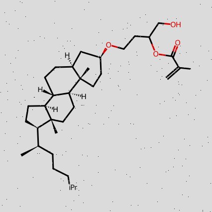 C=C(C)C(=O)OC(CO)CCO[C@H]1CC[C@@]2(C)[C@@H](CC[C@@H]3[C@@H]2CC[C@]2(C)[C@@H]([C@H](C)CCCC(C)C)CC[C@@H]32)C1